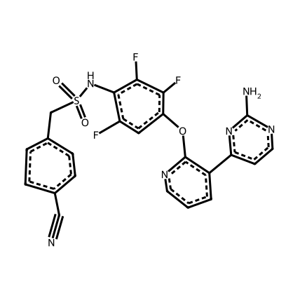 N#Cc1ccc(CS(=O)(=O)Nc2c(F)cc(Oc3ncccc3-c3ccnc(N)n3)c(F)c2F)cc1